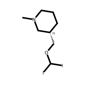 CN1CCC[C@H](COC(I)I)C1